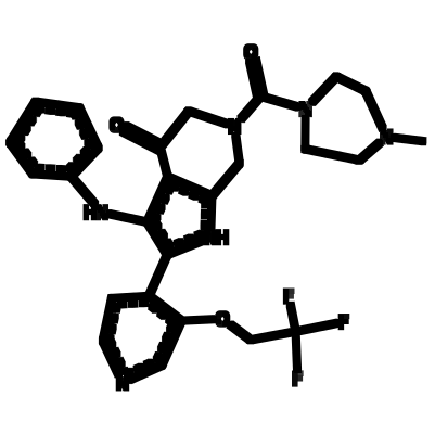 CN1CCN(C(=O)N2CC(=O)c3c([nH]c(-c4ccncc4OCC(F)(F)F)c3Nc3ccccc3)C2)CC1